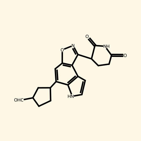 O=CC1CCC(c2cc3onc(C4CCC(=O)NC4=O)c3c3cc[nH]c23)C1